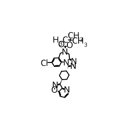 CC(C)(C)OC(=O)N1Cc2cc(Cl)ccc2-n2c(nnc2[C@H]2CC[C@H](c3noc4cccnc43)CC2)C1